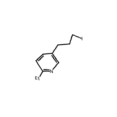 CCc1ccc(CCCI)cn1